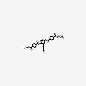 CCOC(=O)C1CCC(C(=O)Oc2ccc(OC(=O)C3CCC(C(=O)OCC)CC3)c(C#CC#N)c2)CC1